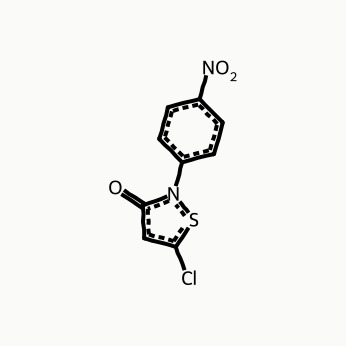 O=c1cc(Cl)sn1-c1ccc([N+](=O)[O-])cc1